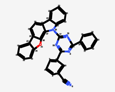 N#Cc1cccc(-c2nc(-c3ccccc3)nc(-n3c4ccccc4c4ccc5c6ccccc6oc5c43)n2)c1